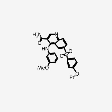 CCOc1ccc(S(=O)(=O)c2ccc3ncc(C(N)=O)c(Nc4cccc(OC)c4)c3c2)cc1